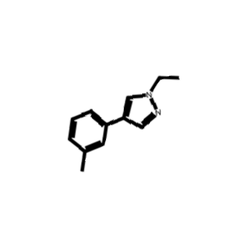 CCn1cc(-c2cccc(C)c2)cn1